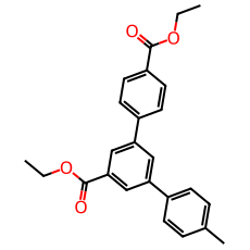 CCOC(=O)c1ccc(-c2cc(C(=O)OCC)cc(-c3ccc(C)cc3)c2)cc1